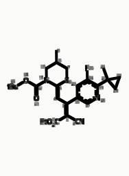 CCOC(=O)/C(C#N)=C(\C=C1/SCC(C)CN1C(=O)OC(C)(C)C)c1cnc(C2(C)CC2)c(F)c1